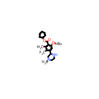 CCCCOc1cc(C2CN(C)CCN2)c(C(F)(F)F)c(C)c1C(=O)Oc1ccccc1